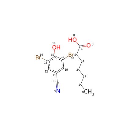 CCCCCCC(=O)O.N#Cc1cc(Br)c(O)c(Br)c1